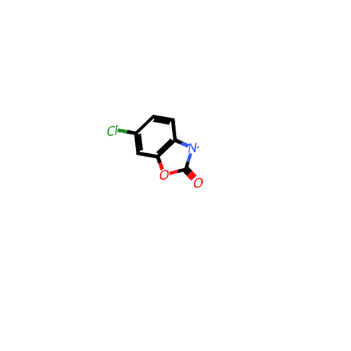 O=C1[N]c2ccc(Cl)cc2O1